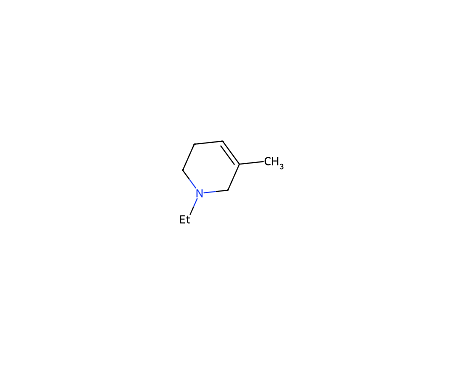 CCN1CCC=C(C)C1